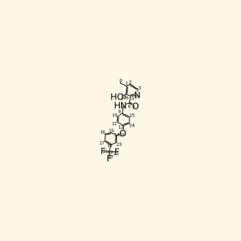 Cc1ccnc(C(=O)Nc2ccc(Oc3cccc(C(F)(F)F)c3)cc2)c1O